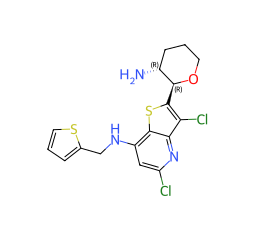 N[C@@H]1CCCO[C@H]1c1sc2c(NCc3cccs3)cc(Cl)nc2c1Cl